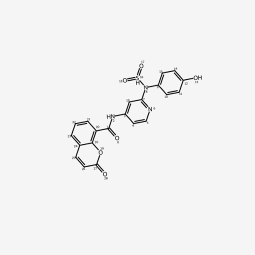 O=C(Nc1ccnc(N(c2ccc(O)cc2)[SH](=O)=O)c1)c1cccc2ccc(=O)oc12